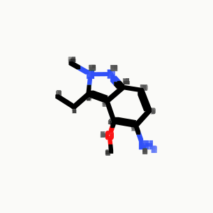 CCc1c2c(OC)c(N)ccc2nn1C